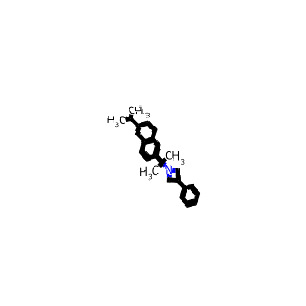 CC(C)C1CCc2cc(C(C)(C)N3CC(c4ccccc4)C3)ccc2C1